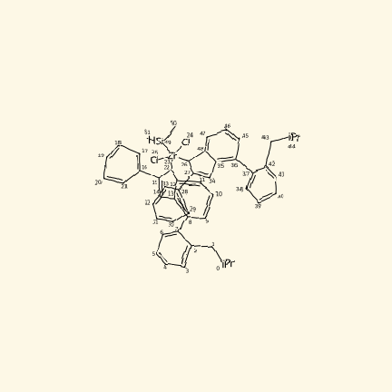 CC(C)Cc1ccccc1-c1cccc2c1C=C(c1ccccc1)[CH]2[Zr]([Cl])([Cl])([CH]1C(c2ccccc2)=Cc2c(-c3ccccc3CC(C)C)cccc21)[SiH](C)C